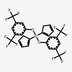 FC(F)(F)c1cc([O][Zr]([O]c2cc(C(F)(F)F)cc(C(F)(F)F)c2)([C]2=CC=CC2)[C]2=CC=CC2)cc(C(F)(F)F)c1